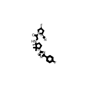 CC1(C)[C@@H](c2nc(-c3ccc(F)cc3)no2)CC[C@@]1(C)NCC(=O)N1C[C@@H](F)C[C@H]1C#N